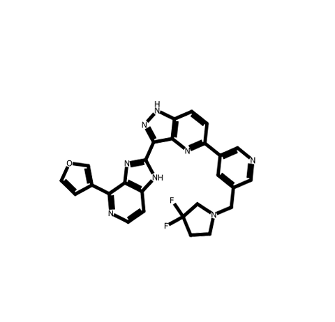 FC1(F)CCN(Cc2cncc(-c3ccc4[nH]nc(-c5nc6c(-c7ccoc7)nccc6[nH]5)c4n3)c2)C1